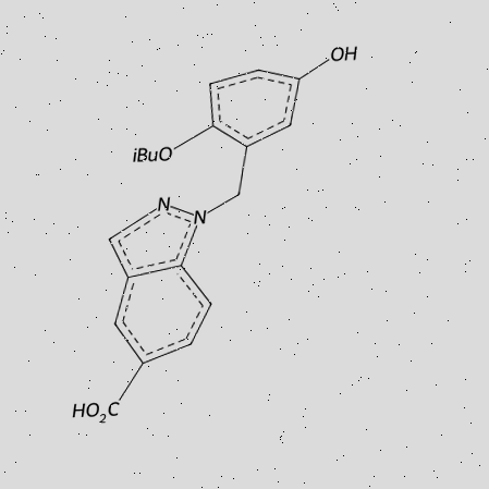 CC(C)COc1ccc(O)cc1Cn1ncc2cc(C(=O)O)ccc21